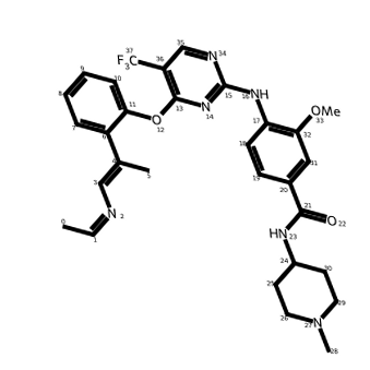 C/C=N\C=C(/C)c1ccccc1Oc1nc(Nc2ccc(C(=O)NC3CCN(C)CC3)cc2OC)ncc1C(F)(F)F